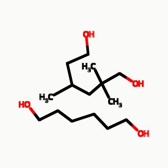 CC(CCO)CC(C)(C)CO.OCCCCCCO